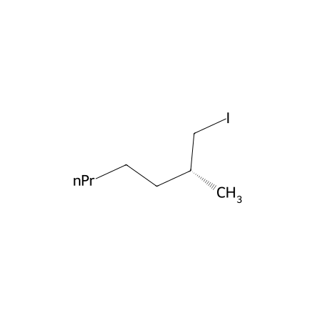 CCCCC[C@@H](C)CI